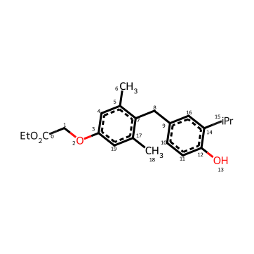 CCOC(=O)COc1cc(C)c(Cc2ccc(O)c(C(C)C)c2)c(C)c1